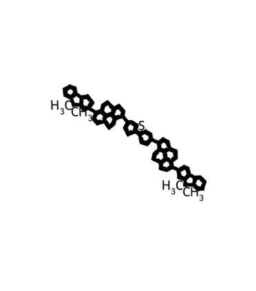 CC1(C)c2ccccc2-c2ccc(-c3ccc4ccc5c(-c6ccc7c(c6)sc6cc(-c8ccc9ccc%10c(-c%11ccc%12c(c%11)C(C)(C)c%11ccccc%11-%12)ccc%11ccc8c9c%11%10)ccc67)ccc6ccc3c4c65)cc21